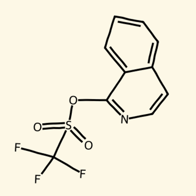 O=S(=O)(Oc1nccc2ccccc12)C(F)(F)F